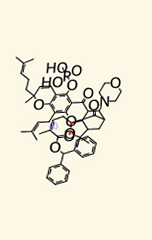 CC(C)=CCCC1(C)C=Cc2c(c(CC=C(C)C)c3c(c2OP(=O)(O)O)C(=O)C2C(N4CCOCC4)C4CC5C(C)(C)OC(C/C=C(/C)C(=O)OC(c6ccccc6)c6ccccc6)(C4=O)C25O3)O1